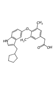 Cc1cc(CC(=O)O)cc(C)c1Oc1ccc2[nH]cc(CC3CCCC3)c2c1